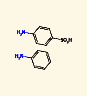 Nc1ccc(S(=O)(=O)O)cc1.Nc1ccccc1